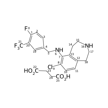 Fc1ccc(CNc2c(Cl)ccc3c2CCNCC3)cc1C(F)(F)F.O=C(O)CCC(=O)O